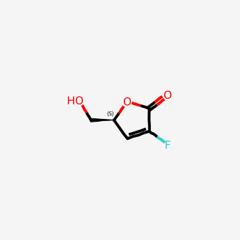 O=C1O[C@H](CO)C=C1F